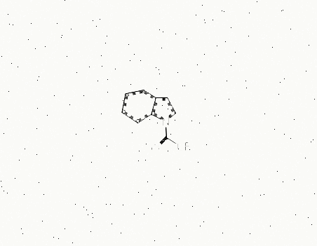 O=C(n1ccc2ccccc21)C(F)(F)F